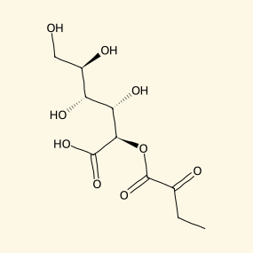 CCC(=O)C(=O)O[C@@H](C(=O)O)[C@@H](O)[C@H](O)[C@H](O)CO